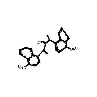 COc1ccc(C(C)C(=O)C(C)c2ccc(OC)c3ccccc23)c2ccccc12